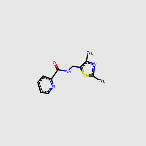 Cc1nc(C)c(CNC(=O)c2ccccn2)s1